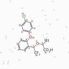 CCC(OC(c1ccccc1Oc1ccc(Cl)cc1)C(F)(F)F)C(=O)O